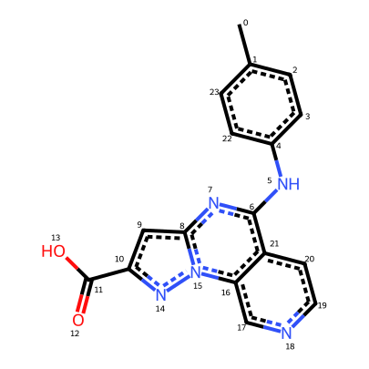 Cc1ccc(Nc2nc3cc(C(=O)O)nn3c3cnccc23)cc1